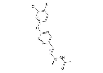 CC(=O)N[C@@H](C)/C=C/c1cnc(Oc2ccc(Br)c(Cl)c2)nc1